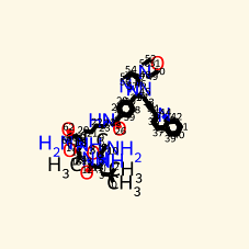 CC(C)C[C@H](NC(=O)[C@H](C)N)C(=O)N[C@@H](C)C(=O)N[C@@H](CCCCNC(=O)c1ccc(-c2c(C#Cc3ccc4ccccc4n3)nc3c(N4CCOCC4)ccnn23)cc1)C(N)=O